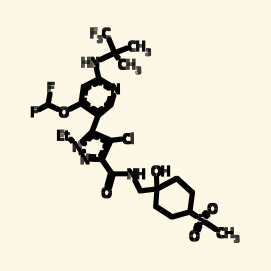 CCn1nc(C(=O)NCC2(O)CCC(S(C)(=O)=O)CC2)c(Cl)c1-c1cnc(NC(C)(C)C(F)(F)F)cc1OC(F)F